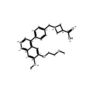 COCCOc1cc2c(-c3ccc(CN4CC(C(=O)O)C4)cc3)cnnc2cc1OC